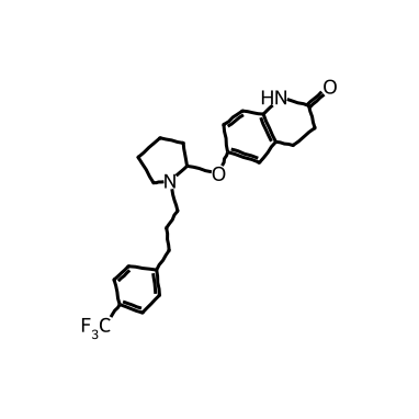 O=C1CCc2cc(OC3CCCCN3CCCc3ccc(C(F)(F)F)cc3)ccc2N1